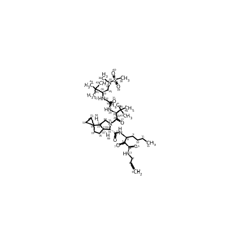 C=CCNC(=O)C(=O)C(CCCC)NC(=O)[C@@H]1[C@H]2CCC3(CC3)[C@H]2CN1C(=O)[C@@H](NC(=O)N[C@H](CN(C)S(C)(=O)=O)C(C)(C)C)C(C)(C)C